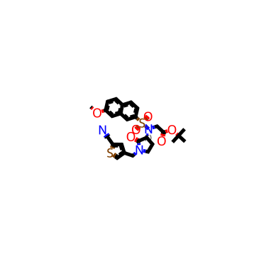 COc1ccc2ccc(S(=O)(=O)N(CC(=O)OC(C)(C)C)[C@H]3CCN(Cc4csc(C#N)c4)C3=O)cc2c1